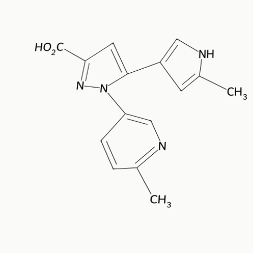 Cc1ccc(-n2nc(C(=O)O)cc2-c2c[nH]c(C)c2)cn1